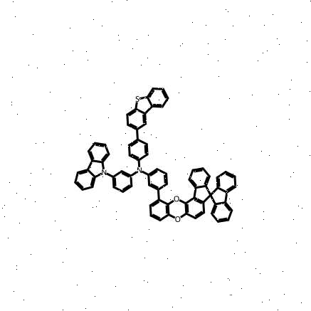 c1cc(-c2cccc3c2Oc2c(ccc4c2-c2ccccc2C42c4ccccc4-c4ccccc42)O3)cc(N(c2ccc(-c3ccc4sc5ccccc5c4c3)cc2)c2cccc(-n3c4ccccc4c4ccccc43)c2)c1